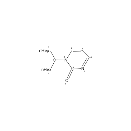 CCCCCCCC(CCCCCC)n1cccnc1=O